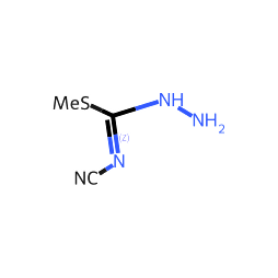 CS/C(=N\C#N)NN